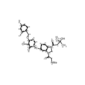 CNCC(=O)N1CN(C(=O)CC(C)(C)O)c2ccc(Cn3cnc(OCc4ccc(F)cc4F)c(Cl)c3=O)cc21